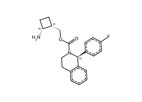 N[C@@H]1CC[C@@H]1COC(=O)N1CCc2ccccc2[C@@H]1c1ccc(F)cc1